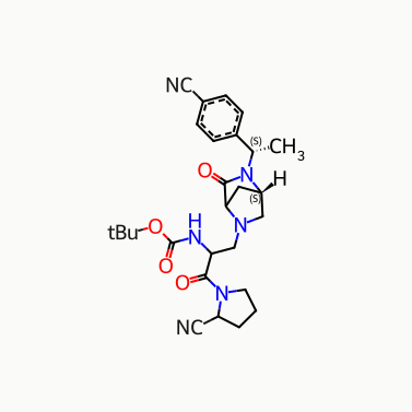 C[C@@H](c1ccc(C#N)cc1)N1C(=O)C2C[C@H]1CN2CC(NC(=O)OC(C)(C)C)C(=O)N1CCCC1C#N